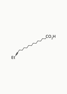 CCC#CCCCCCCCCCCCCC(=O)O